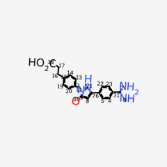 N=C(N)c1ccc(-c2cc(=O)n(-c3ccc(CCC(=O)O)cc3)[nH]2)cc1